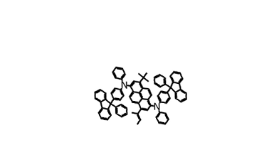 C/C=C(\C)c1cc(N(c2ccccc2)c2ccc(C3(c4ccccc4)c4ccccc4-c4ccccc43)cc2)c2ccc3c(C(C)(C)C)cc(N(c4ccccc4)c4ccc(C5(c6ccccc6)c6ccccc6-c6ccccc65)cc4)c4ccc1c2c43